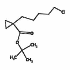 CC(C)(C)OC(=O)C1(CCCCCCl)CC1